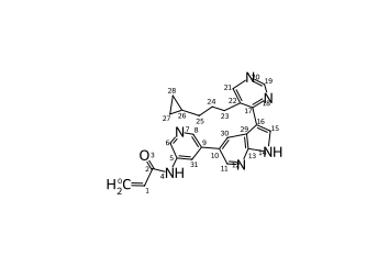 C=CC(=O)Nc1cncc(-c2cnc3[nH]cc(-c4ncncc4CCCC4CC4)c3c2)c1